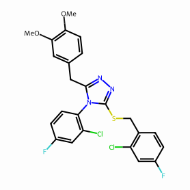 COc1ccc(Cc2nnc(SCc3ccc(F)cc3Cl)n2-c2ccc(F)cc2Cl)cc1OC